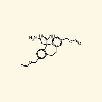 N=C(N)C1(CCN)c2ccc(COC=O)cc2CCc2cc(COC=O)ccc21